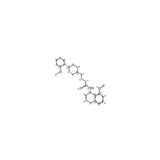 COc1ccccc1N1CCN(CCCC(=O)NC2CCCc3cccc(OC)c32)CC1